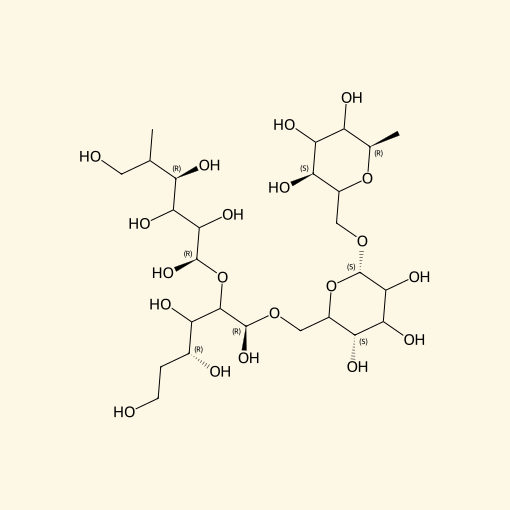 CC(CO)[C@@H](O)C(O)C(O)[C@H](O)OC(C(O)[C@H](O)CCO)[C@H](O)OCC1O[C@H](OCC2O[C@H](C)C(O)C(O)[C@@H]2O)C(O)C(O)[C@@H]1O